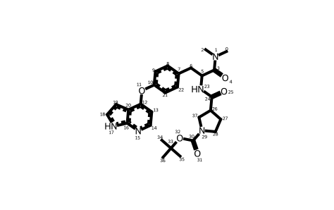 CN(C)C(=O)C(Cc1ccc(Oc2ccnc3[nH]ccc23)cc1)NC(=O)C1CCN(C(=O)OC(C)(C)C)C1